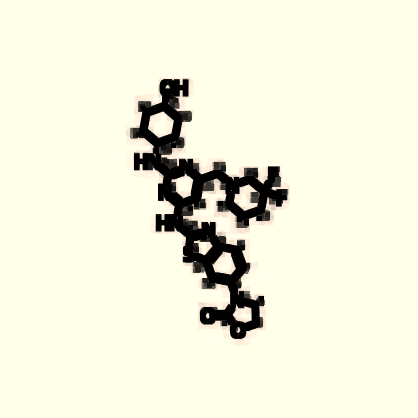 O=C1OCCN1c1ccc2nc(Nc3cc(CN4CCCC(F)(F)C4)nc(N[C@H]4CC[C@H](O)CC4)n3)sc2c1